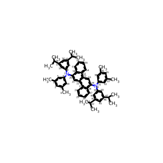 Cc1cc(C)cc(N(c2cc(C(C)C)cc(C(C)C)c2)c2cc3c4ccccc4c(N(c4cc(C)cc(C)c4)c4cc(C(C)C)cc(C(C)C)c4)cc3c3ccccc23)c1